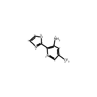 Nc1cc(C(F)(F)F)cnc1-c1ncco1